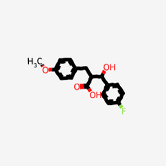 COc1ccc(CC(C(=O)O)C(O)c2ccc(F)cc2)cc1